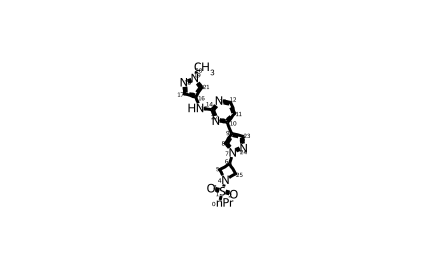 CCCS(=O)(=O)N1CC(n2cc(-c3ccnc(Nc4cnn(C)c4)n3)cn2)C1